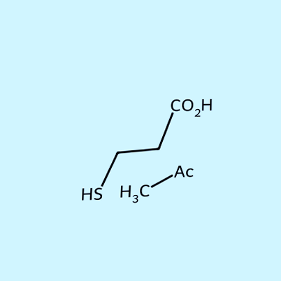 CC(C)=O.O=C(O)CCS